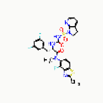 Cc1nc2c(F)c(N(C)C(=O)[C@H](Cc3cc(F)cc(F)c3)NC(=O)NS(=O)(=O)N3CCc4cccnc43)ccc2s1